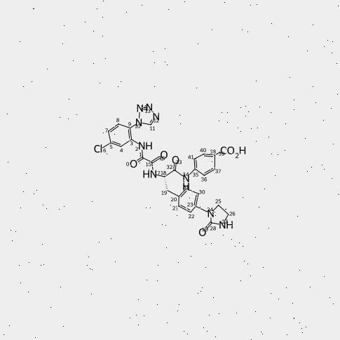 O=C(Nc1cc(Cl)ccc1-n1cnnn1)C(=O)N[C@@H](Cc1ccc(N2CCNC2=O)cc1)C(=O)Nc1ccc(C(=O)O)cc1